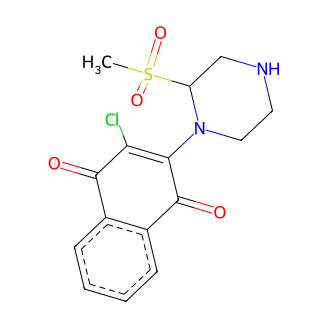 CS(=O)(=O)C1CNCCN1C1=C(Cl)C(=O)c2ccccc2C1=O